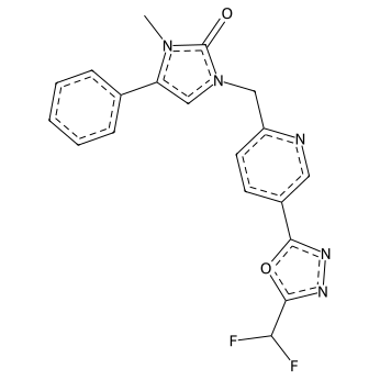 Cn1c(-c2ccccc2)cn(Cc2ccc(-c3nnc(C(F)F)o3)cn2)c1=O